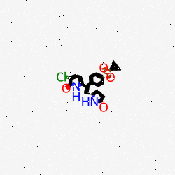 O=C1CC[C@H](/C=C(\c2ccc(S(=O)(=O)C3CC3)cc2)c2ccc(Cl)c(=O)[nH]2)N1